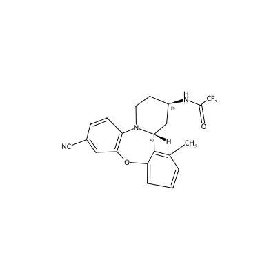 Cc1cccc2c1[C@H]1C[C@H](NC(=O)C(F)(F)F)CCN1c1ccc(C#N)cc1O2